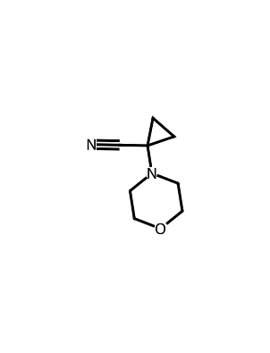 N#CC1(N2CCOCC2)CC1